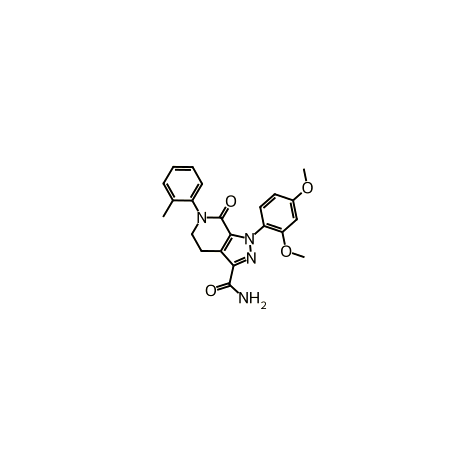 COc1ccc(-n2nc(C(N)=O)c3c2C(=O)N(c2ccccc2C)CC3)c(OC)c1